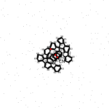 N#Cc1ccc(-n2c3ccccc3c3ccc4c(c32)C(c2ccccc2)(c2ccccc2)c2ccccc2-4)c(C#N)c1-n1c2ccccc2c2ccc3c(c21)C(c1ccccc1)(c1ccccc1)c1ccccc1-3